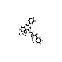 COc1cncc2nc(-c3ccncc3)nc(NCC(N)C(F)c3ccccc3)c12